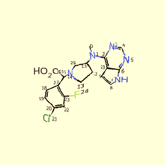 CN(c1ncnc2[nH]ccc12)C1CCN(C(C(=O)O)c2ccc(Cl)cc2F)C1